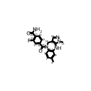 Cc1ccc2c(c1)Nc1c(cnn1C)CN2C(=O)c1ccc(C(N)=O)c(F)c1